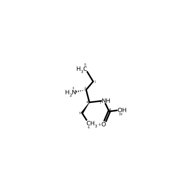 CC[C@@H](N)[C@H](CC)NC(=O)O